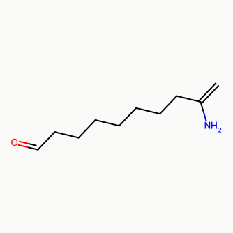 C=C(N)CCCCCCCC=O